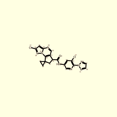 O=C(Nc1cnc(-n2nccn2)c(Cl)c1)C1CC2(CC2)c2c1cnc1cc(Cl)nn21